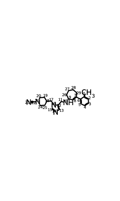 Cc1ccccc1C1=CC(NCc2cncn2CC2CCN(C#N)CC2)CCCC1